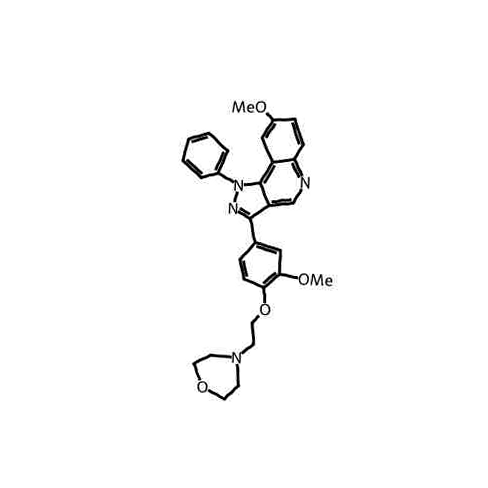 COc1ccc2ncc3c(-c4ccc(OCCN5CCOCC5)c(OC)c4)nn(-c4ccccc4)c3c2c1